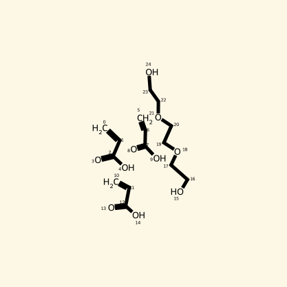 C=CC(=O)O.C=CC(=O)O.C=CC(=O)O.OCCOCCOCCO